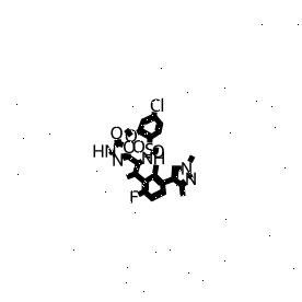 COc1cc(Cl)ccc1S(=O)(=O)NC(c1n[nH]c(=O)o1)C(C)c1c(F)ccc(-c2cn(C)nc2C)c1C